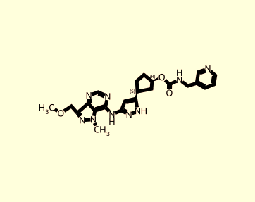 COCc1nn(C)c2c(Nc3cc([C@H]4CC[C@@H](OC(=O)NCc5cccnc5)C4)[nH]n3)ncnc12